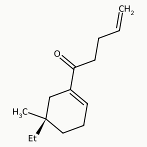 C=CCCC(=O)C1=CCC[C@@](C)(CC)C1